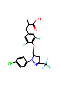 CC(Cc1cc(F)c(OCC2CC(C(F)(F)F)=NN2c2ccc(Cl)cc2)c(F)c1)C(=O)O